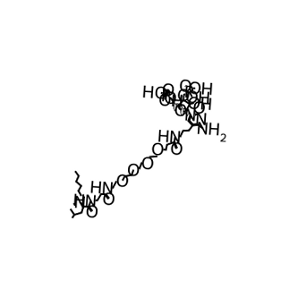 CCCCCCN(C)C(CC(C)C)C(=O)NCCC(=O)NCCOCCOCCOCCOCCC(=O)NCCCc1cn([C@@H]2O[C@H](COP(=O)(O)O)C(OP(=O)(O)O)C2O)c(=O)nc1N